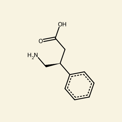 NC[C@@H](CC(=O)O)c1ccccc1